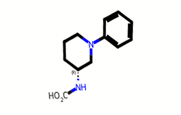 O=C(O)N[C@@H]1CCCN(c2ccccc2)C1